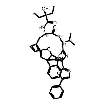 CCC(O)(CC)C(=O)N[C@H]1Cc2ccc3c(c2)C2(c4ccccc4NC2O3)c2oc(nc2-c2ncc(-c3ccccc3)o2)[C@H](C(C)C)NC1=O